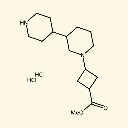 COC(=O)C1CC(N2CCCC(C3CCNCC3)C2)C1.Cl.Cl